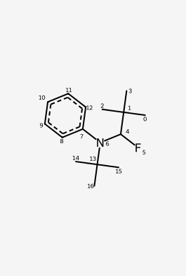 CC(C)(C)C(F)N(c1ccccc1)C(C)(C)C